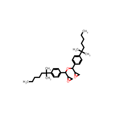 CCCCCC(C)(C)c1ccc(C(OC(c2ccc(C(C)(C)CCCCC)cc2)C2CO2)C2CO2)cc1